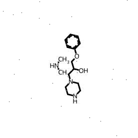 CNC.OC(COc1ccccc1)CN1CCNCC1